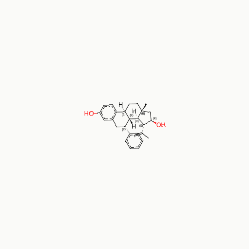 C=C(C)[C@@H]1[C@H]2[C@H]3[C@H](CC[C@]2(C)C[C@H]1O)c1ccc(O)cc1C[C@H]3c1ccccc1